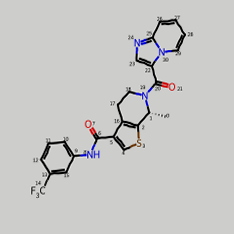 C[C@@H]1c2scc(C(=O)Nc3cccc(C(F)(F)F)c3)c2CCN1C(=O)c1cnc2ccccn12